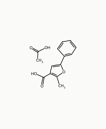 CC(=O)O.Cc1oc(-c2ccccc2)cc1C(=O)O